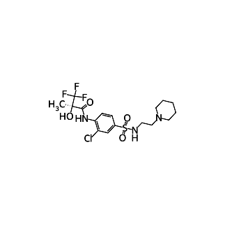 C[C@@](O)(C(=O)Nc1ccc(S(=O)(=O)NCCN2CCCCC2)cc1Cl)C(F)(F)F